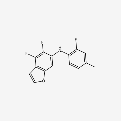 Fc1cc(I)ccc1Nc1[c]c2occc2c(F)c1F